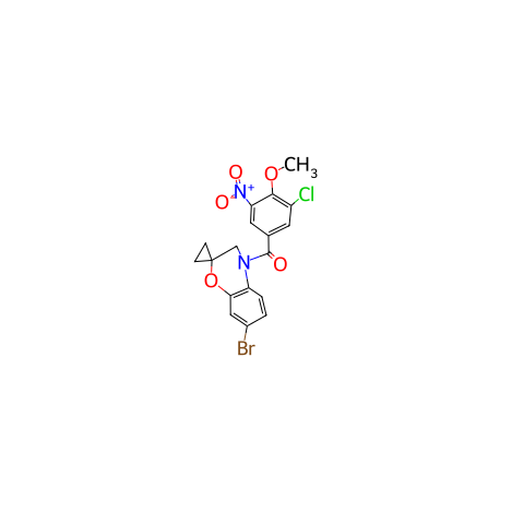 COc1c(Cl)cc(C(=O)N2CC3(CC3)Oc3cc(Br)ccc32)cc1[N+](=O)[O-]